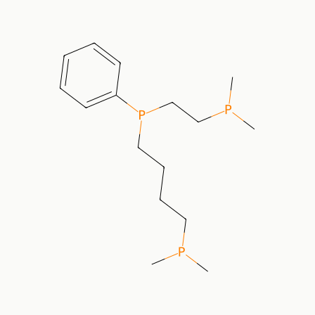 CP(C)CCCCP(CCP(C)C)c1ccccc1